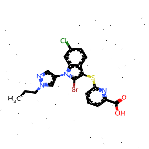 CCCn1cc(-n2c(Br)c(Sc3cccc(C(=O)O)n3)c3ccc(Cl)cc32)cn1